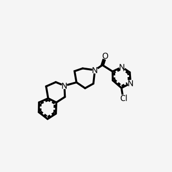 O=C(c1cc(Cl)ncn1)N1CCC(N2CCc3ccccc3C2)CC1